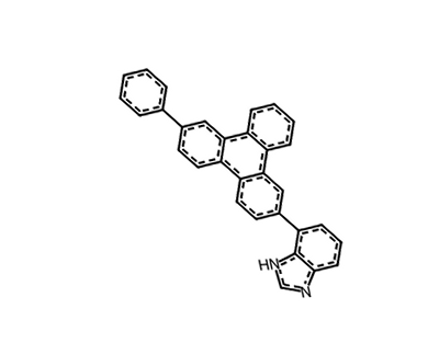 c1ccc(-c2ccc3c4ccc(-c5cccc6nc[nH]c56)cc4c4ccccc4c3c2)cc1